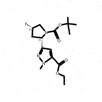 CCOC(=O)c1cc([C@@H]2C[C@H](F)CN2C(=O)OC(C)(C)C)nn1C